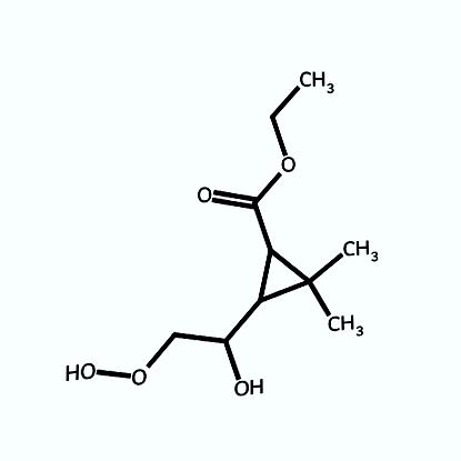 CCOC(=O)C1C(C(O)COO)C1(C)C